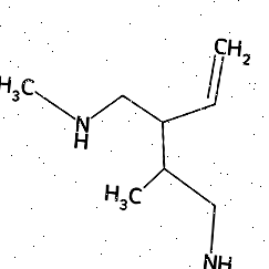 C=CC(CNC)C(C)CN